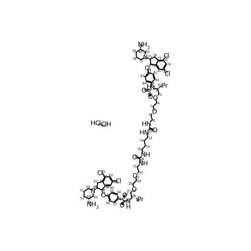 CC(C)[C@@H](COCCOCCNC(=O)NCCCCNC(=O)NCCOCCOC[C@@H](NS(=O)(=O)c1ccc(O[C@H]2c3cc(Cl)cc(Cl)c3C[C@@H]2N2CCC[C@@H](N)C2)cc1)C(C)C)N(c1ccc(O[C@H]2c3cc(Cl)cc(Cl)c3C[C@@H]2N2CCC[C@@H](N)C2)cc1)[SH](=O)=O.Cl.Cl